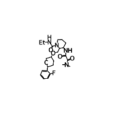 CCNC(=O)N1CCCC(NC(=O)C(=O)N(C)C)C1COC1CCC(c2ccccc2F)CC1